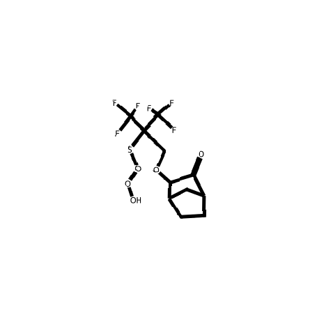 O=C1C2CCC(C2)C1OCC(SOOO)(C(F)(F)F)C(F)(F)F